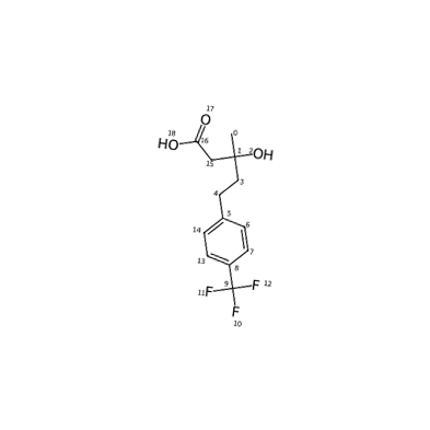 CC(O)(CCc1ccc(C(F)(F)F)cc1)CC(=O)O